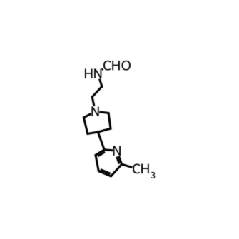 Cc1cccc(C2CCN(CCNC=O)CC2)n1